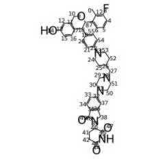 Cc1c(F)cccc1[C@@H]1OCc2cc(O)ccc2[C@@H]1c1ccc(N2CCC(CN3CCN(c4ccc5c(c4)CN([C@H]4CCC(=O)NC4=O)C5=O)CC3)CC2)cc1